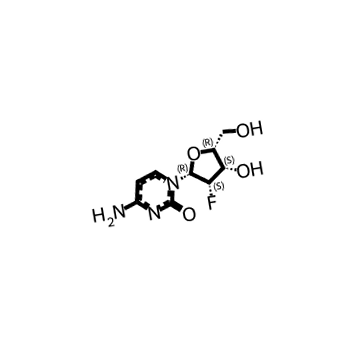 Nc1ccn([C@@H]2O[C@H](CO)[C@H](O)[C@@H]2F)c(=O)n1